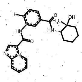 C[C@@]1(O)CCCC[C@@H]1NC(=O)c1ccc(F)c(NC(=O)c2cnc3ccccn23)c1